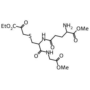 CCOC(=O)C(=O)CSCC(NC(=O)CCC(N)C(=O)OC)C(=O)NCC(=O)OC